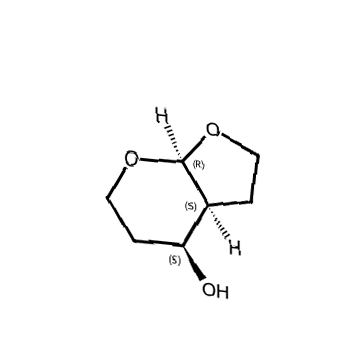 O[C@H]1CCO[C@H]2OCC[C@H]21